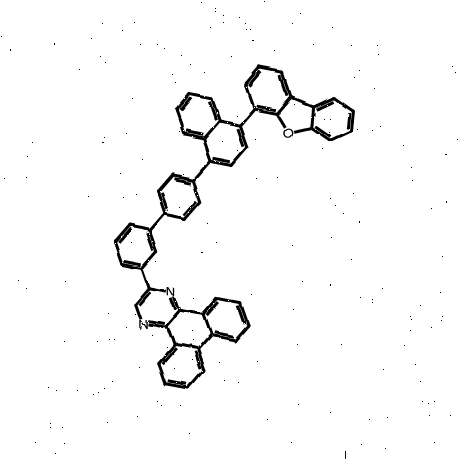 c1cc(-c2ccc(-c3ccc(-c4cccc5c4oc4ccccc45)c4ccccc34)cc2)cc(-c2cnc3c4ccccc4c4ccccc4c3n2)c1